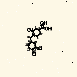 O=c1cc(B(O)O)ccn1Cc1ccc(Cl)c(Cl)c1